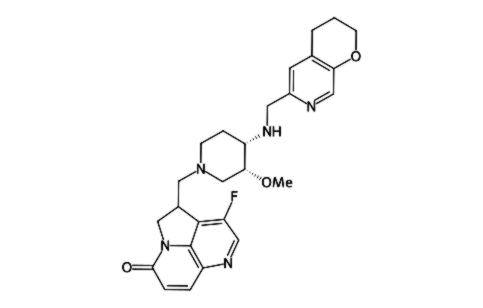 CO[C@@H]1CN(CC2Cn3c(=O)ccc4ncc(F)c2c43)CC[C@@H]1NCc1cc2c(cn1)OCCC2